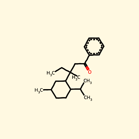 CCC(C)(CC(=O)c1ccccc1)C1CC(C)CCC1C(C)C